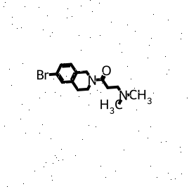 CN(C)CCC(=O)N1CCc2cc(Br)ccc2C1